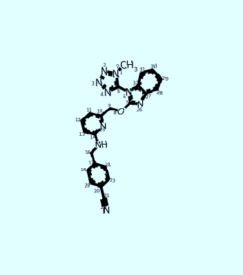 Cn1nnnc1-n1c(OCc2cccc(NCc3ccc(C#N)cc3)n2)nc2ccccc21